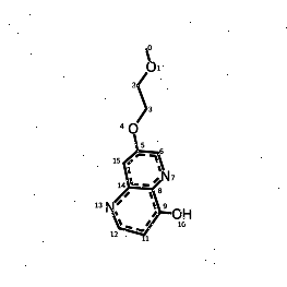 COCCOc1cnc2c(O)ccnc2c1